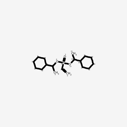 C=CP(=O)(OC(C)C1CCCCC1)OC(C)C1CCCCC1